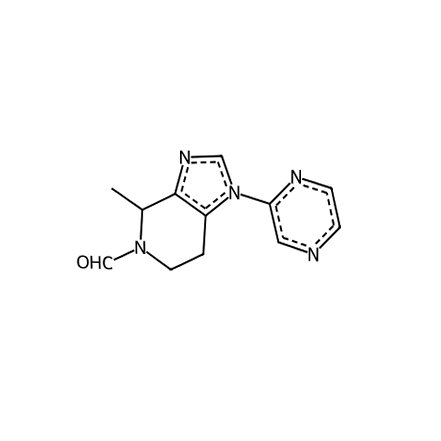 CC1c2ncn(-c3cnccn3)c2CCN1C=O